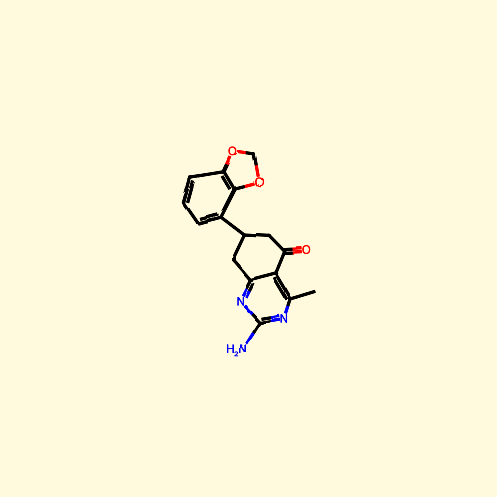 Cc1nc(N)nc2c1C(=O)CC(c1cccc3c1OCO3)C2